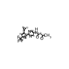 CC(=O)CC(=O)Nc1cnc(-n2nc(C(F)(F)F)cc2C2CC2)nc1